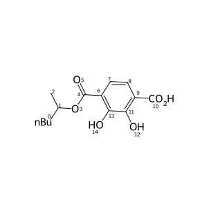 CCCCC(C)OC(=O)c1ccc(C(=O)O)c(O)c1O